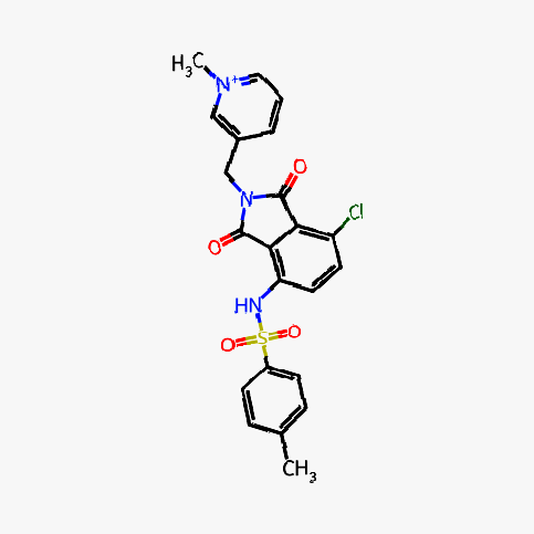 Cc1ccc(S(=O)(=O)Nc2ccc(Cl)c3c2C(=O)N(Cc2ccc[n+](C)c2)C3=O)cc1